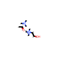 CC=O.CN(C)C.C[N+](C)(C)CCO